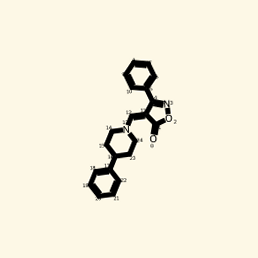 O=C1ON=C(c2ccccc2)C1=CN1CCC(c2ccccc2)CC1